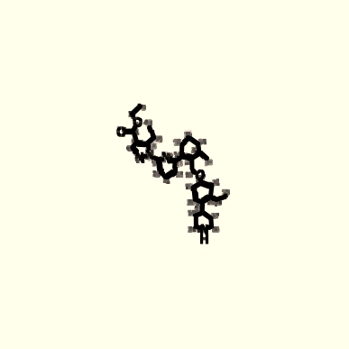 CCOC(=O)c1cnn(-c2cccc(C3=C(COc4ccc(C5CCNCC5)c(CC)c4)C(C)CCC3)n2)c1CC